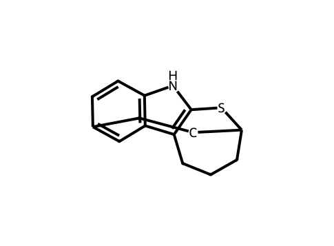 c1cc2[nH]c3c4c2cc1CCC(CCC4)S3